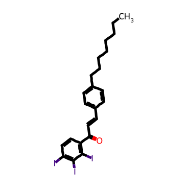 CCCCCCCCc1ccc(C=CC(=O)c2ccc(I)c(I)c2I)cc1